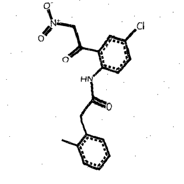 Cc1ccccc1CC(=O)Nc1ccc(Cl)cc1C(=O)C[N+](=O)[O-]